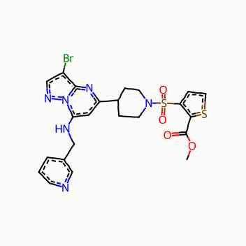 COC(=O)c1sccc1S(=O)(=O)N1CCC(c2cc(NCc3cccnc3)n3ncc(Br)c3n2)CC1